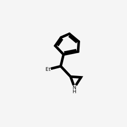 CCC(c1ccccc1)C1CN1